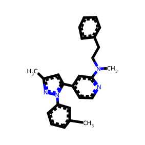 Cc1cccc(-n2nc(C)cc2-c2ccnc(N(C)CCc3ccccc3)c2)c1